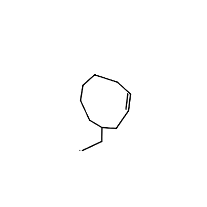 [CH2]CC1CC=CCCCCC1